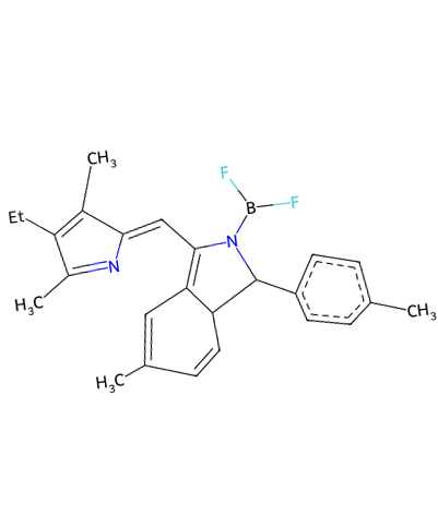 CCC1=C(C)/C(=C/C2=C3C=C(C)C=CC3C(c3ccc(C)cc3)N2B(F)F)N=C1C